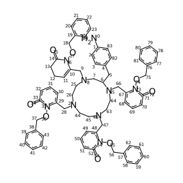 Nc1ccc(CC2CN(CC3=CCCC(=O)N3OCc3ccccc3)CCN(Cc3cccc(=O)n3OCc3ccccc3)CCN(Cc3cccc(=O)n3OCc3ccccc3)CCN2Cc2cccc(=O)n2OCc2ccccc2)cc1